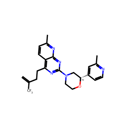 C=C(CCc1nc(N2CCO[C@@H](c3ccnc(C)c3)C2)nc2nc(C)ccc12)C(F)(F)F